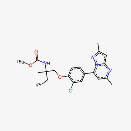 Cc1cc(-c2ccc(OCC(C)(CC(C)C)NC(=O)OC(C)(C)C)c(Cl)c2)n2nc(C)cc2n1